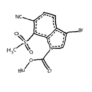 CC(C)(C)OC(=O)n1cc(Br)c2ccc(C#N)c(S(C)(=O)=O)c21